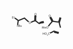 C=C(C)C(=O)OC.C=CC(=O)O.C=CC(=O)OCC(CC)CCCC